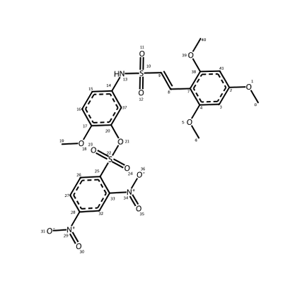 COc1cc(OC)c(/C=C/S(=O)(=O)Nc2ccc(OC)c(OS(=O)(=O)c3ccc([N+](=O)[O-])cc3[N+](=O)[O-])c2)c(OC)c1